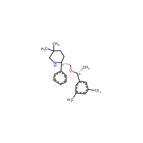 Cc1cc([C@@H](C)OC[C@@]2(c3ccccc3)CCC(C)(C)CN2)cc(C(F)(F)F)c1